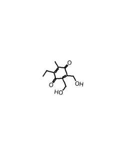 CCC1=C(C)C(=O)C(CO)=C(CO)C1=O